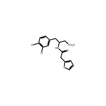 O=C(O)CC(Cc1ccc(Cl)c(Cl)c1)NC(=O)Cc1cccs1